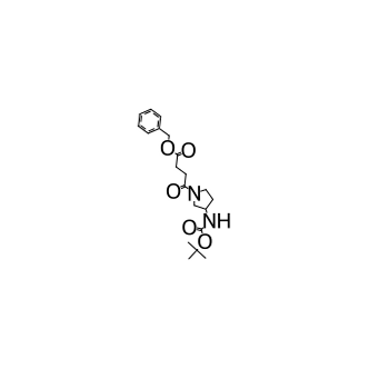 CC(C)(C)OC(=O)NC1CCN(C(=O)CCC(=O)OCc2ccccc2)C1